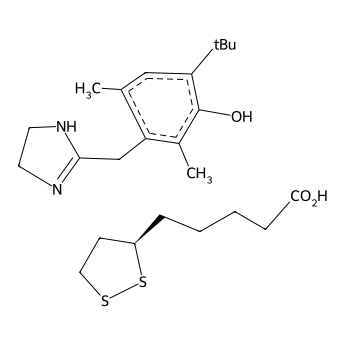 Cc1cc(C(C)(C)C)c(O)c(C)c1CC1=NCCN1.O=C(O)CCCC[C@@H]1CCSS1